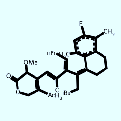 CCC/C=C(C(/CC(C)CC)=C1/CCCc2c(C)c(F)cc(C)c21)\C(C)=C\C1=C(C(C)=O)COC(=O)C1OC